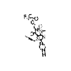 CC#CCn1c(N2CCNCC2)nc2c1c(=O)n(CCOC(=O)C(F)(F)F)c(=O)n2C